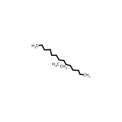 C.C.CCCCCCCCCCCCCC